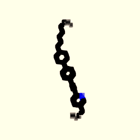 CCCCCCC1CCC(c2ccc(C#Cc3ccc(CC)cn3)cc2)CC1